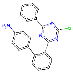 Nc1ccc(-c2ccccc2-c2nc(Cl)nc(-c3ccccc3)n2)cc1